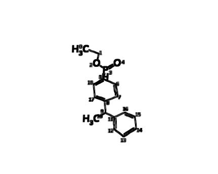 CCO[PH](=O)c1ccc(C(C)c2ccccc2)cc1